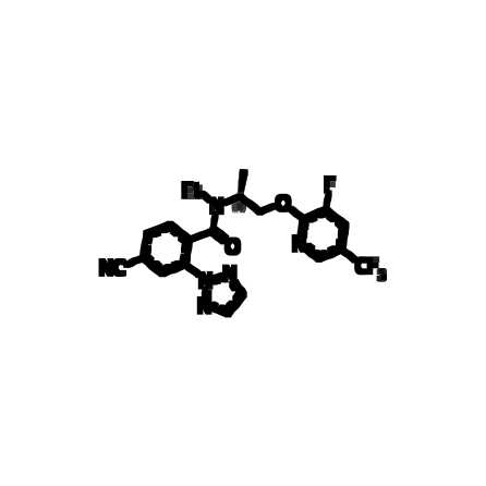 CCN(C(=O)c1ccc(C#N)cc1-n1nccn1)[C@@H](C)COc1ncc(C(F)(F)F)cc1F